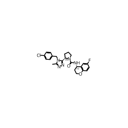 Cc1nnc([C@H]2CCCN2C(=O)N[C@H]2CCOc3ccc(F)cc32)n1Cc1ccc(Cl)cc1